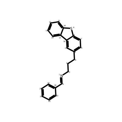 C(=NCCCc1ccc2sc3ccccc3c2c1)c1ccccc1